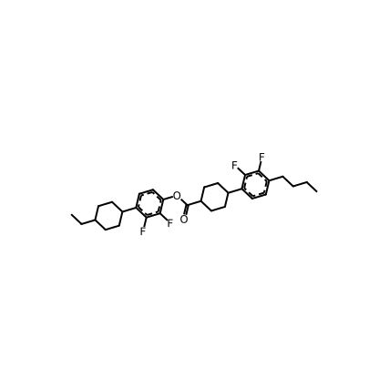 CCCCc1ccc(C2CCC(C(=O)Oc3ccc(C4CCC(CC)CC4)c(F)c3F)CC2)c(F)c1F